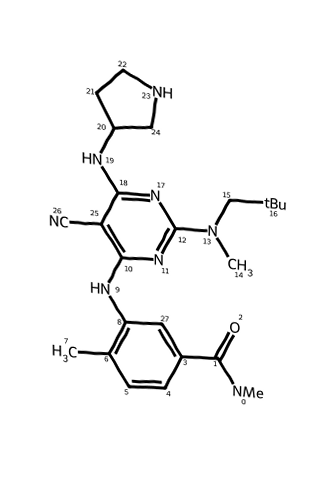 CNC(=O)c1ccc(C)c(Nc2nc(N(C)CC(C)(C)C)nc(NC3CCNC3)c2C#N)c1